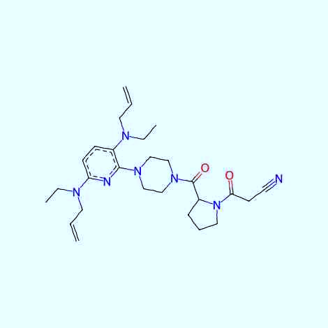 C=CCN(CC)c1ccc(N(CC)CC=C)c(N2CCN(C(=O)C3CCCN3C(=O)CC#N)CC2)n1